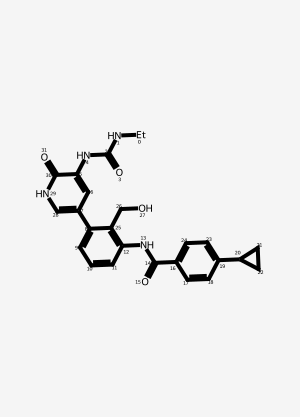 CCNC(=O)Nc1cc(-c2cccc(NC(=O)c3ccc(C4CC4)cc3)c2CO)c[nH]c1=O